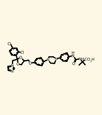 CC(C)(NC(=O)Nc1ccc(N2CCN(c3ccc(OCC4COC(Cn5ccnc5)(c5ccc(Cl)cc5Cl)O4)cc3)CC2)cc1)C(=O)O